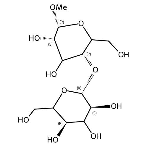 CO[C@@H]1OC(CO)[C@H](O[C@H]2OC(CO)[C@H](O)C(O)[C@@H]2O)C(O)[C@@H]1O